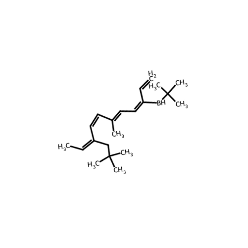 C=C\C(BC(C)(C)C)=C/C=C(C)/C=C\C(=C/C)CC(C)(C)C